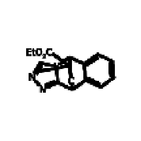 CCOC(=O)C1(C)CC2c3ccccc3C1n1cnnc12